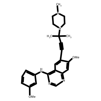 COc1cccc(Nc2ncnc3cc(OC)c(C#CC(C)(C)N4CCN(C)CC4)cc23)c1